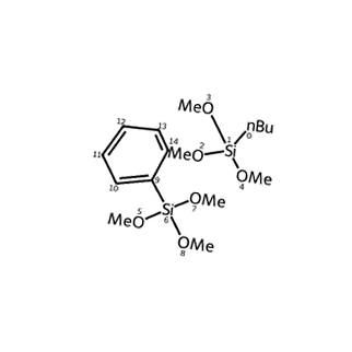 CCCC[Si](OC)(OC)OC.CO[Si](OC)(OC)c1ccccc1